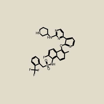 Cc1ccc2c(NS(=O)(=O)Cc3ccccc3C(F)(F)F)c(F)ccc2c1Oc1ncccc1-c1ccnc(NC2CCCNC2)n1